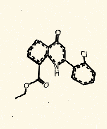 CCOC(=O)c1cccc2c(=O)cc(-c3ccccc3Cl)[nH]c12